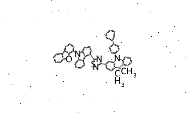 CC1(C)c2ccccc2N(c2ccc(-c3ccccc3)cc2)c2cc(-c3nsc(-c4cccc5c4c4ccccc4n5-c4cccc5c4oc4ccccc45)n3)ccc21